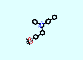 CC1(C)OB(c2ccc(-c3cccc(-c4cc(-c5ccc(-c6ccccc6)cc5)nc(-c5ccccc5)n4)c3)cc2)OC1(C)C